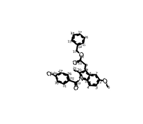 COc1ccc2c(c1)c(CC(=O)OCc1ccccc1)c(C)n2C(=O)c1ccc(Cl)cc1